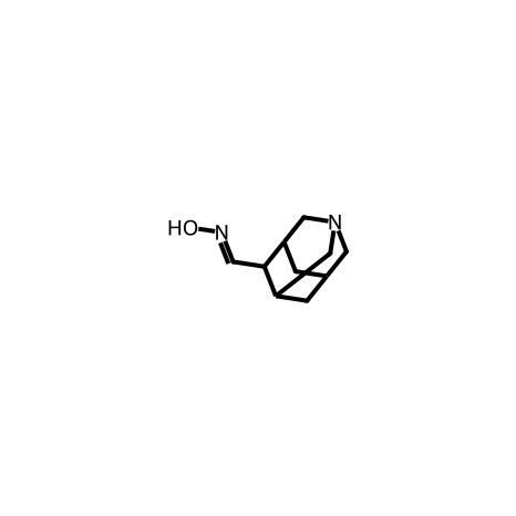 ON=CC1C2CC3CC1CN(C3)C2